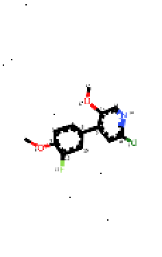 COc1ccc(-c2cc(Cl)ncc2OC)cc1F